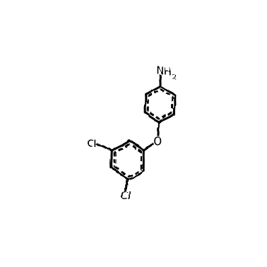 Nc1ccc(Oc2cc(Cl)cc(Cl)c2)cc1